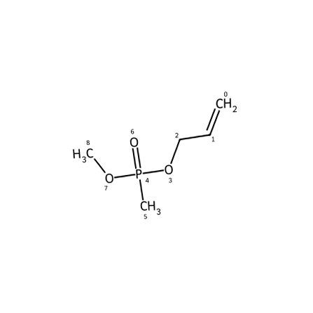 C=CCOP(C)(=O)OC